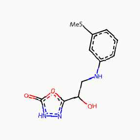 CSc1cccc(NCC(O)c2n[nH]c(=O)o2)c1